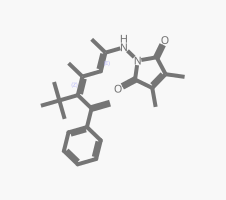 C=C(/C(=C(C)\C=C(/C)NN1C(=O)C(C)=C(C)C1=O)C(C)(C)C)c1ccccc1